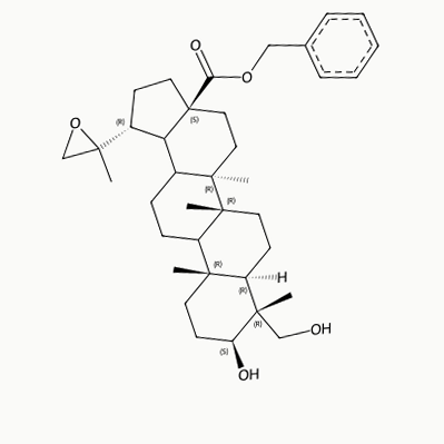 CC1([C@@H]2CC[C@]3(C(=O)OCc4ccccc4)CC[C@]4(C)C(CCC5[C@@]6(C)CC[C@H](O)[C@@](C)(CO)[C@@H]6CC[C@]54C)C23)CO1